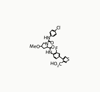 COC1CC(C(=O)Nc2ccc(-c3cscc3C(=O)O)cc2F)N(C(=O)Nc2ccc(Cl)cc2)C1